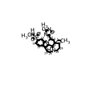 CC[C@@]12C=C(c3nc(C)no3)n3c4c(c5ccc(S(=O)(=O)NC)cc53)CCN(CCC1)[C@H]42